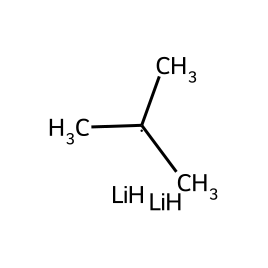 C[C](C)C.[LiH].[LiH]